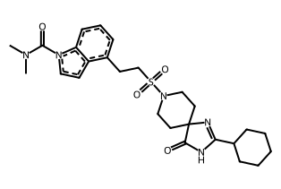 CN(C)C(=O)n1ccc2c(CCS(=O)(=O)N3CCC4(CC3)N=C(C3CCCCC3)NC4=O)cccc21